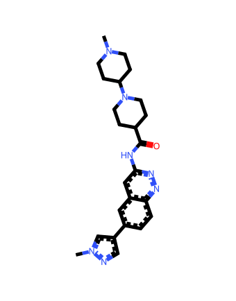 CN1CCC(N2CCC(C(=O)Nc3cc4cc(-c5cnn(C)c5)ccc4nn3)CC2)CC1